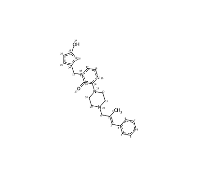 C/C(=C\c1ccccc1)CN1CCN(c2nccn(Cc3ccc(O)s3)c2=O)CC1